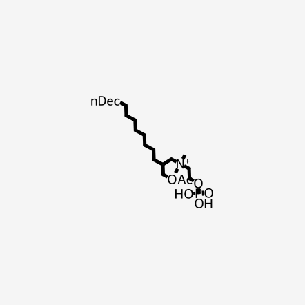 CCCCCCCCCCCCCCCCCCC(COC(C)=O)C[N+](C)(C)CCOP(=O)(O)O